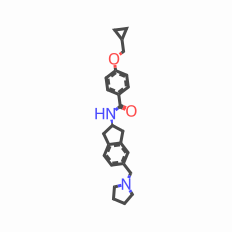 O=C(N[C@@H]1Cc2ccc(CN3CCCC3)cc2C1)c1ccc(OCC2CC2)cc1